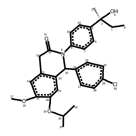 CC[C@](C)(O)c1ccc(N2C(=O)Cc3cc(OC)c(OC(C)C)cc3C2c2ccc(Cl)cc2)cc1